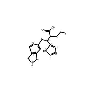 CCCC(C(=O)O)[C@H](Cc1ccc2c(c1)CNC2)c1nnn[nH]1